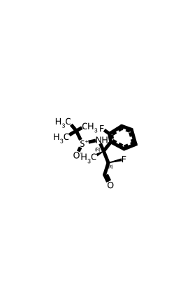 CC(C)(C)[S+]([O-])N[C@](C)(c1ccccc1F)[C@@H](F)C=O